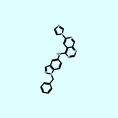 c1ccc(Cn2ncc3cc(Nc4ncnc5cnc(-n6ccnc6)cc45)ccc32)cc1